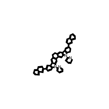 C1=C(c2ccc3ccccc3c2)CCc2c1c1cc3c(cc1n2-c1ccccn1)-c1cc2c(cc1CC3)c1cc(-c3ccc4ccccc4c3)ccc1n2-c1ccccn1